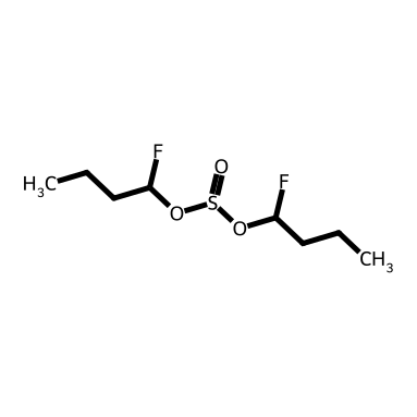 CCCC(F)OS(=O)OC(F)CCC